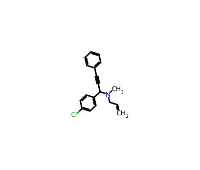 C=CCN(C)C(C#Cc1ccccc1)c1ccc(Cl)cc1